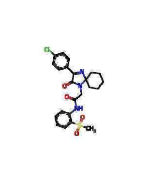 CS(=O)(=O)c1ccccc1NC(=O)CN1C(=O)C(c2ccc(Cl)cc2)=NC12CCCCC2